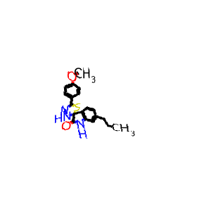 CCCc1ccc2c(c1)NC(=O)C21NN=C(c2ccc(OC)cc2)S1